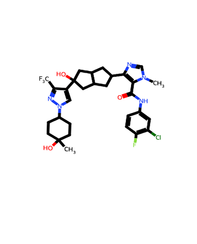 Cn1cnc(C2CC3CC(O)(c4cn(C5CCC(C)(O)CC5)nc4C(F)(F)F)CC3C2)c1C(=O)Nc1ccc(F)c(Cl)c1